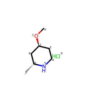 CO[C@H]1CCN[C@H](C)C1.Cl